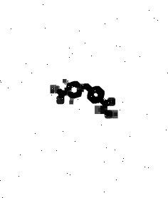 CCC(=O)N1[C@H](C)CN(Cc2ccc(C(=O)NO)cc2)C[C@@H]1C